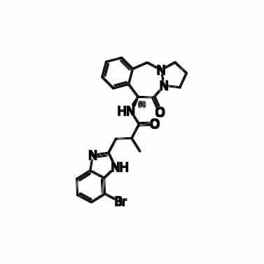 CC(Cc1nc2cccc(Br)c2[nH]1)C(=O)N[C@@H]1C(=O)N2CCCN2Cc2ccccc21